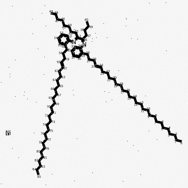 CCCCCCCCCCCCCCCCCCCCCCCCC=CCCCc1ccccc1N=C(CCCC)C(CCCCCCCC)=Nc1ccccc1CCCC=CCCCCCCCCCCCCCCCCCCCCCCCC.[Ni]